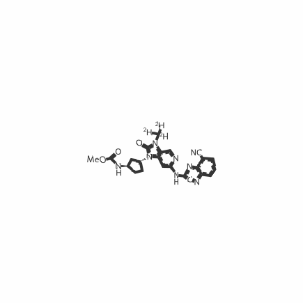 [2H]C([2H])([2H])n1c(=O)n([C@@H]2CC[C@@H](NC(=O)OC)C2)c2cc(Nc3cnc4cccc(C#N)c4n3)ncc21